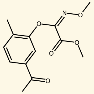 CO/N=C(/Oc1cc(C(C)=O)ccc1C)C(=O)OC